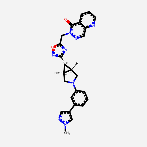 Cn1cc(-c2cccc(N3C[C@@H]4[C@H](C3)[C@H]4c3noc(Cn4ncc5ncccc5c4=O)n3)c2)cn1